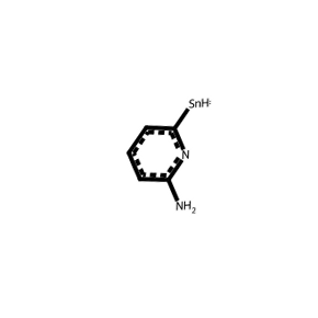 Nc1ccc[c]([SnH])n1